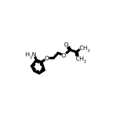 C=C(C)C(=O)OCCOc1ccccc1N